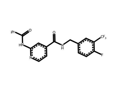 CC(C)C(=O)Nc1cc(C(=O)NCc2ccc(F)c(C(F)(F)F)c2)ccn1